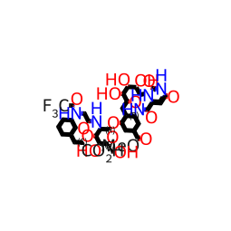 COC(=O)C1CC(O[C@@H]2O[C@@H](CO)C(O)C(O[C@@H](CC3CCCCC3)C(=O)O)C2NC(=O)CNC(=O)C(F)(F)F)C(CC2OC(C)C(O)C(O)C2O)[C@H](NC(=O)c2cc(=O)[nH]c(=O)[nH]2)C1